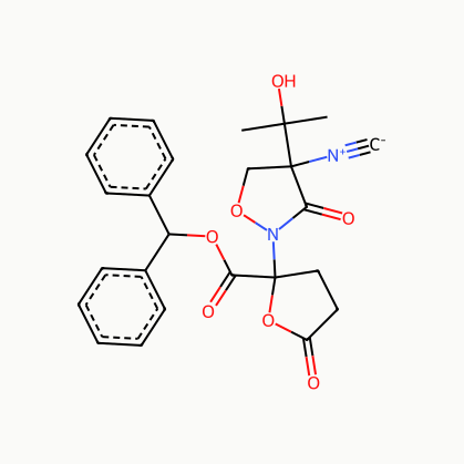 [C-]#[N+]C1(C(C)(C)O)CON(C2(C(=O)OC(c3ccccc3)c3ccccc3)CCC(=O)O2)C1=O